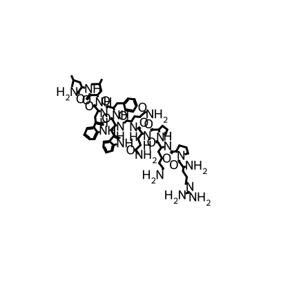 CC(C)CC(NC(=O)C(CC(C)C)NC(=O)C(Cc1c[nH]c2ccccc12)NC(=O)C(Cc1ccccc1)NC(=O)C(Cc1c[nH]c2ccccc12)NC(=O)C(CCC(N)=O)NC(=O)C(CCC(N)=O)NC(=O)C1CCCN1C(=O)C(CCCCN)NC(=O)C1CCCN1C(=O)C(N)CCCN=C(N)N)C(N)=O